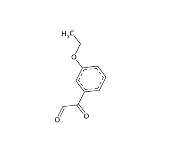 CCOc1cccc(C(=O)C=O)c1